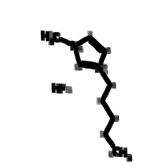 CCCCC[n+]1ccn(C)c1.F